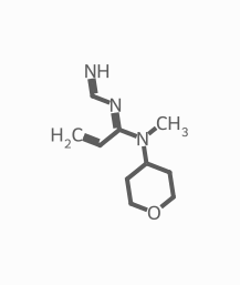 C=C/C(=N\C=N)N(C)C1CCOCC1